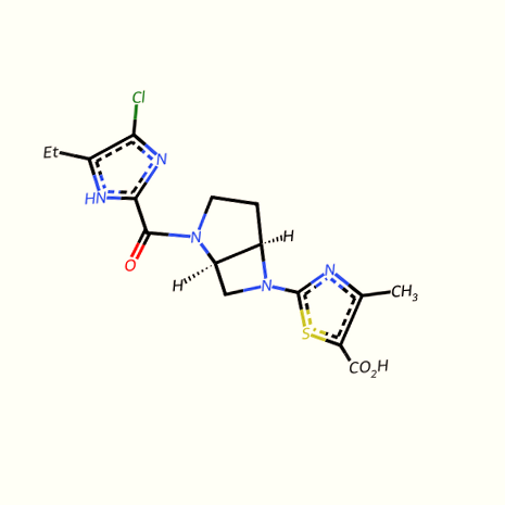 CCc1[nH]c(C(=O)N2CC[C@@H]3[C@H]2CN3c2nc(C)c(C(=O)O)s2)nc1Cl